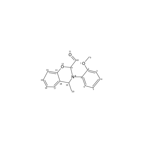 COc1ccccc1N1C(C=O)Oc2ccccc2C1C